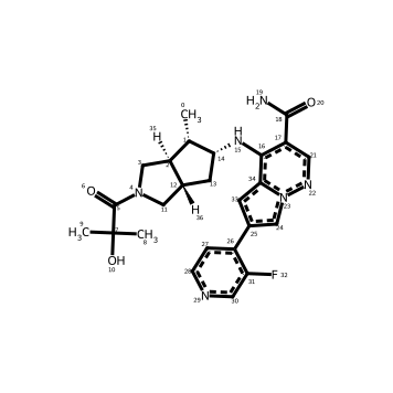 C[C@H]1[C@@H]2CN(C(=O)C(C)(C)O)C[C@H]2C[C@H]1Nc1c(C(N)=O)cnn2cc(-c3ccncc3F)cc12